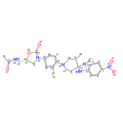 [C-]#[N+]C1(Nc2ccc([N+](=O)[O-])cc2)CCN(c2ccc(N3C[C@H](CNC(C)=O)OC3=O)cc2F)CC1C